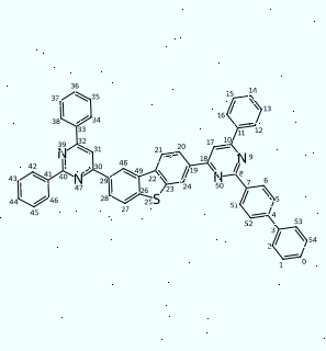 c1ccc(-c2ccc(-c3nc(-c4ccccc4)cc(-c4ccc5c(c4)sc4ccc(-c6cc(-c7ccccc7)nc(-c7ccccc7)n6)cc45)n3)cc2)cc1